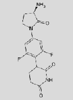 N[C@@H]1CCN(c2cc(F)c(C3CCC(=O)NC3=O)c(F)c2)C1=O